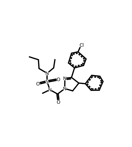 CCCN(CC)S(=O)(=O)N(C)C(=O)N1CC(c2ccccc2)C(c2ccc(Cl)cc2)=N1